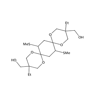 CCC1(CO)COC2(CC(SC)C3(CC2SC)OCC(CC)(CO)CO3)OC1